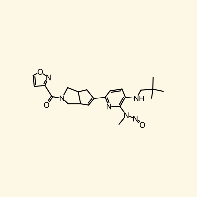 CN(N=O)c1nc(C2=CC3CN(C(=O)c4ccon4)CC3C2)ccc1NCC(C)(C)C